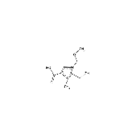 COCn1cc(C(=O)O)c(C)c1CO